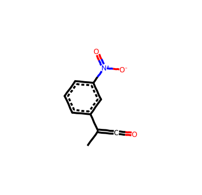 CC(=C=O)c1cccc([N+](=O)[O-])c1